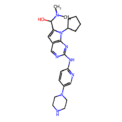 CN(C)C(O)c1cc2cnc(Nc3ccc(N4CCNCC4)cn3)nc2n1C1CCCC1